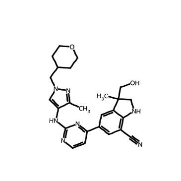 Cc1nn(CC2CCOCC2)cc1Nc1nccc(-c2cc(C#N)c3c(c2)C(C)(CO)CN3)n1